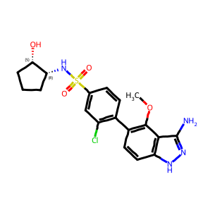 COc1c(-c2ccc(S(=O)(=O)N[C@@H]3CCC[C@@H]3O)cc2Cl)ccc2[nH]nc(N)c12